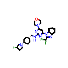 FC(F)c1nc2ccccc2n1-c1cc(N2CCOCC2)nc(NC[C@H]2CC[C@@H](N3CC[C@@H](F)C3)CC2)n1